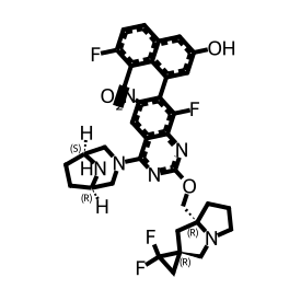 C#Cc1c(F)ccc2cc(O)cc(-c3c([N+](=O)[O-])cc4c(N5C[C@H]6CC[C@@H](C5)N6)nc(OC[C@]56CCCN5C[C@]5(CC5(F)F)C6)nc4c3F)c12